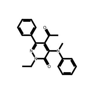 CCn1nc(-c2ccccc2)c(C(C)=O)c(N(C)c2ccccc2)c1=O